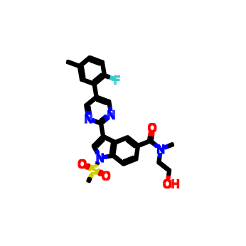 Cc1ccc(F)c(-c2cnc(-c3cn(S(C)(=O)=O)c4ccc(C(=O)N(C)CCO)cc34)nc2)c1